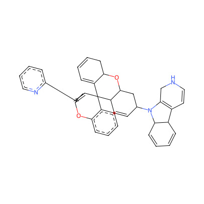 C1=CCC2OC3CC(N4C5=C(C=CNC5)C5C=CC=CC54)C=CC3C3(C2=C1)C1=C(C=C(c2ccccn2)CC1)Oc1ccccc13